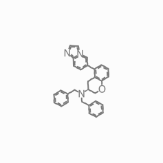 c1ccc(CN(Cc2ccccc2)[C@@H]2COc3cccc(-c4ccc5nccn5c4)c3C2)cc1